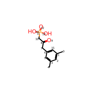 Cc1cc(C)cc(CC(=O)CP(=O)(O)O)c1